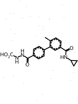 Cc1ccc(C(=O)NC2CC2)cc1-c1ccc(C(=O)NNC(=O)O)cc1